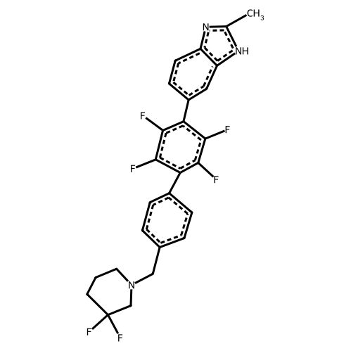 Cc1nc2ccc(-c3c(F)c(F)c(-c4ccc(CN5CCCC(F)(F)C5)cc4)c(F)c3F)cc2[nH]1